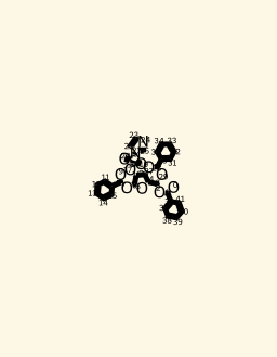 O=C(OCC1OC(OC(=O)c2ccccc2)C(OS(=O)(=O)n2ccnc2)C1OC(=O)c1ccccc1)c1ccccc1